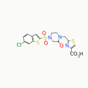 O=C(O)c1csc(CN2CCN(S(=O)(=O)c3cc4ccc(Cl)cc4s3)CC2=O)n1